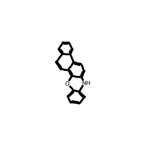 c1ccc2c(c1)Nc1ccc3c(ccc4ccccc43)c1O2